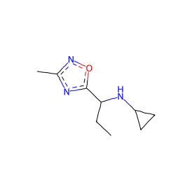 CCC(NC1CC1)c1nc(C)no1